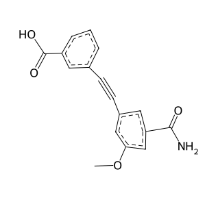 COc1cc(C#Cc2cccc(C(=O)O)c2)cc(C(N)=O)c1